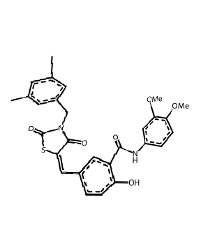 COc1ccc(NC(=O)c2cc(C=C3SC(=O)N(Cc4cc(C)cc(C)c4)C3=O)ccc2O)cc1OC